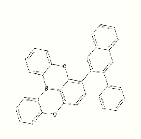 c1ccc(-c2cc3ccccc3cc2-c2ccc3c4c2Oc2ccccc2B4c2ccccc2O3)cc1